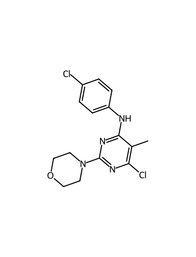 Cc1c(Cl)nc(N2CCOCC2)nc1Nc1ccc(Cl)cc1